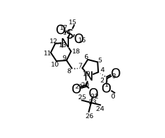 COC(=O)[C@H]1CC[C@@H](CC2CCCN(S(C)(=O)=O)C2)N1C(=O)OC(C)(C)C